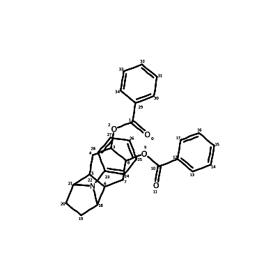 O=C(OC1CC2C(CC1OC(=O)c1ccccc1)C1CCC2N1c1ccccc1)c1ccccc1